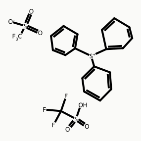 O=S(=O)(O)C(F)(F)F.O=S(=O)([O-])C(F)(F)F.c1ccc([S+](c2ccccc2)c2ccccc2)cc1